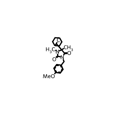 COc1ccc(CN2C(=O)N(C)C(C)(C3CC4CCC3CC4)C2=O)cc1